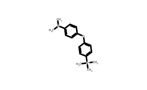 CN(C)c1ccc(Oc2ccc([N+](C)(C)C)cc2)cc1